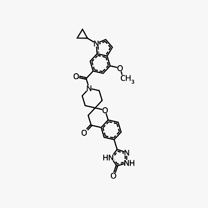 COc1cc(C(=O)N2CCC3(CC2)CC(=O)c2cc(-c4n[nH]c(=O)[nH]4)ccc2O3)cc2c1ccn2C1CC1